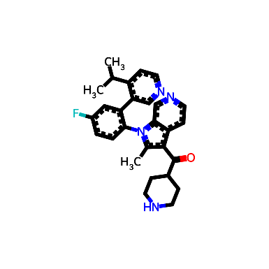 Cc1c(C(=O)C2CCNCC2)c2ccncc2n1-c1ccc(F)cc1-c1cnccc1C(C)C